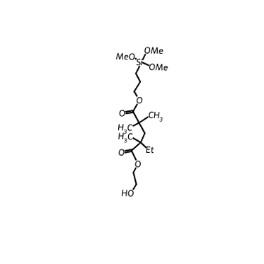 CCC(C)(CC(C)(C)C(=O)OCCC[Si](OC)(OC)OC)C(=O)OCCO